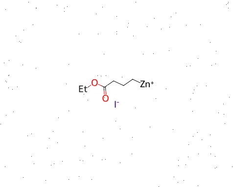 CCOC(=O)CC[CH2][Zn+].[I-]